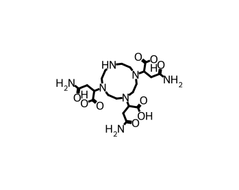 NC(=O)CC(C(=O)O)N1CCNCCN(C(CC(N)=O)C(=O)O)CCN(C(CC(N)=O)C(=O)O)CC1